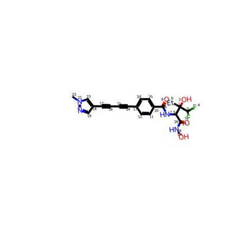 CCC(O)(C(F)F)C(NC(=O)c1ccc(C#CC#Cc2cnn(C)c2)cc1)C(=O)NO